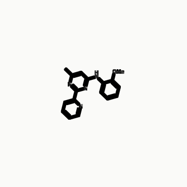 COc1ccccc1Nc1cc(C)nc(-c2ccccn2)n1